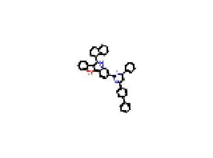 c1ccc(-c2ccc(-c3cc(-c4ccccc4)nc(-c4ccc5c(c4)nc(-c4cccc6ccccc46)c4c6ccccc6oc54)n3)cc2)cc1